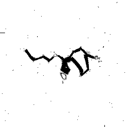 C=CCCOC(=O)c1ccc(Br)cc1